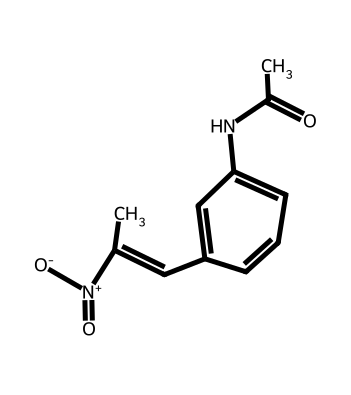 CC(=O)Nc1cccc(/C=C(\C)[N+](=O)[O-])c1